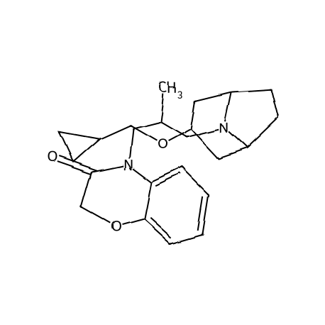 CC(CN1C(=O)COc2ccccc21)CN1C2CCC1CC(OCC1CC1)C2